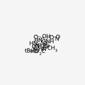 CC(C)(CNC(=O)O)CC(=O)NC(Cc1ccc(-c2ccccn2)cc1)CC(O)C(Cc1ccccc1)NC(=O)C(C1CNC(=O)N1Cc1cccc(C(C)(C)C)n1)C(C)(C)C